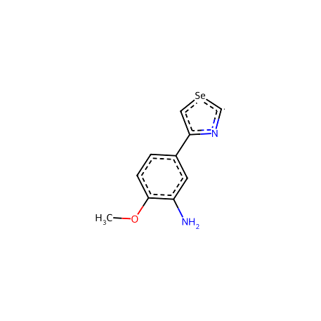 COc1ccc(-c2c[se][c]n2)cc1N